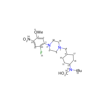 COc1cc(N2CCN(CC3CCC(N(C(=O)O)C(C)(C)C)CC3)CC2)c(F)cc1[N+](=O)[O-]